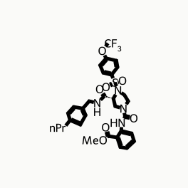 CCCc1ccc(CNC(=O)[C@H]2CN(C(=O)Nc3ccccc3C(=O)OC)CCN2S(=O)(=O)c2ccc(OC(F)(F)F)cc2)cc1